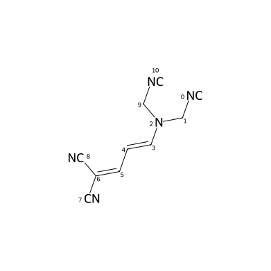 [C-]#[N+]CN(/C=C/C=C(C#N)C#N)C[N+]#[C-]